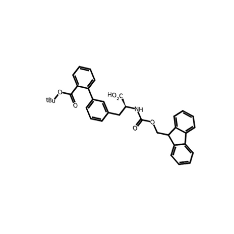 CC(C)(C)OC(=O)c1ccccc1-c1cccc(C[C@H](NC(=O)OCC2c3ccccc3-c3ccccc32)C(=O)O)c1